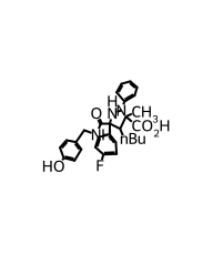 CCCCC1C(C(=O)NCc2ccc(O)cc2)(c2ccc(F)cc2)NN(c2ccccc2)C1(C)C(=O)O